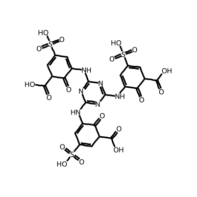 O=C(O)C1C=C(S(=O)(=O)O)C=C(Nc2nc(NC3=CC(S(=O)(=O)O)=CC(C(=O)O)C3=O)nc(NC3=CC(S(=O)(=O)O)=CC(C(=O)O)C3=O)n2)C1=O